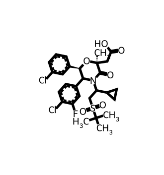 CC(C)(C)S(=O)(=O)CC(C1CC1)N1C(=O)[C@](C)(CC(=O)O)O[C@H](c2cccc(Cl)c2)C1c1ccc(Cl)c(F)c1